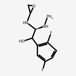 OC(c1cc(F)ccc1F)[C@H](NP)NC1CO1